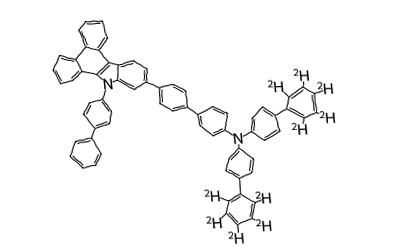 [2H]c1c([2H])c([2H])c(-c2ccc(N(c3ccc(-c4ccc(-c5ccc6c7c8ccccc8c8ccccc8c7n(-c7ccc(-c8ccccc8)cc7)c6c5)cc4)cc3)c3ccc(-c4c([2H])c([2H])c([2H])c([2H])c4[2H])cc3)cc2)c([2H])c1[2H]